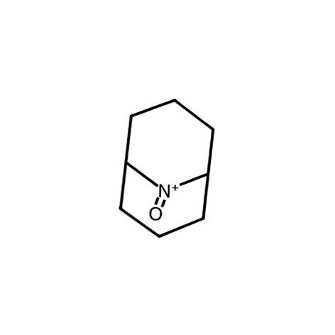 O=[N+]1C2CCCC1CCC2